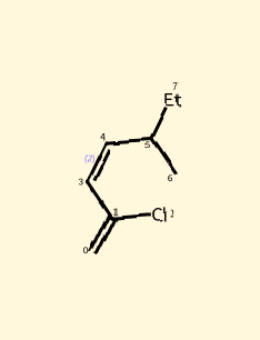 C=C(Cl)/C=C\C(C)CC